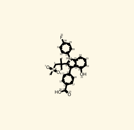 CC(C)(CS(C)(=O)=O)c1c(-c2ccc(C(=O)O)cc2)c2c(O)cccc2n1-c1ccc(F)cc1